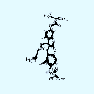 C#CCNCc1c(Cc2cccc(NS(=O)(=O)NC)c2F)c(=O)oc2cc(OC(=O)N(C)C)ccc12